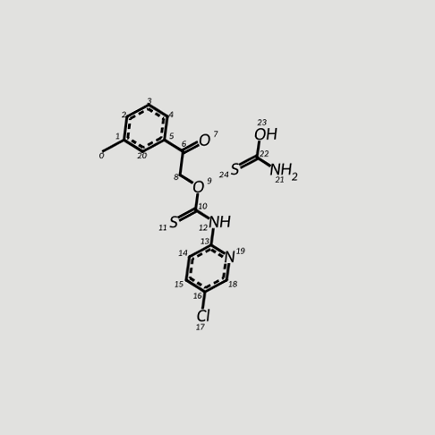 Cc1cccc(C(=O)COC(=S)Nc2ccc(Cl)cn2)c1.NC(O)=S